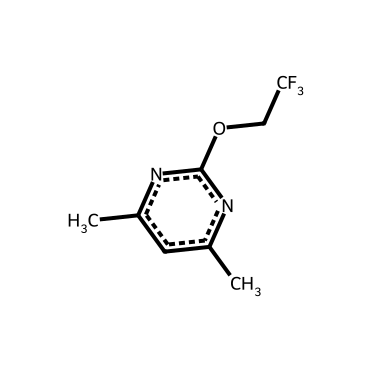 Cc1cc(C)nc(OCC(F)(F)F)n1